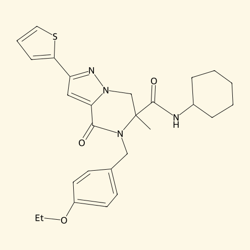 CCOc1ccc(CN2C(=O)c3cc(-c4cccs4)nn3CC2(C)C(=O)NC2CCCCC2)cc1